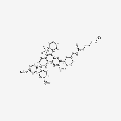 COc1ccc(C2(c3ccc(OC)cc3)C=Cc3c4c(c5cc(N6CCCC(COC(=O)CCCCCO)C6)c(OC)cc5c3O2)-c2ccccc2C4(C)C)cc1